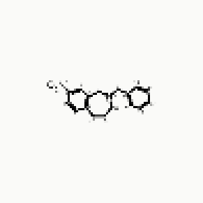 O=[N+]([O-])c1ccc2c(c1)CN(Cc1ccccc1)CCC2